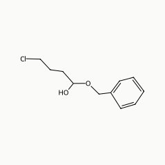 OC(CCCCl)OCc1ccccc1